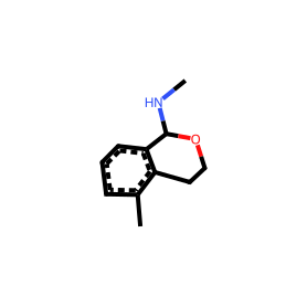 CNC1OCCc2c(C)cccc21